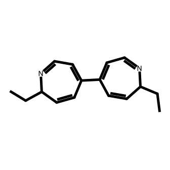 CCC1C=CC(C2=CC=NC(CC)C=C2)=CC=N1